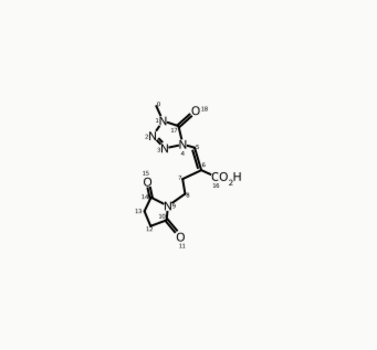 Cn1nnn(/C=C(\CCN2C(=O)CCC2=O)C(=O)O)c1=O